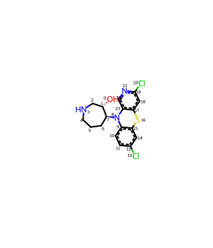 O[C@H]1CNCCC[C@@H]1N1c2ccc(Cl)cc2Sc2cc(Cl)ncc21